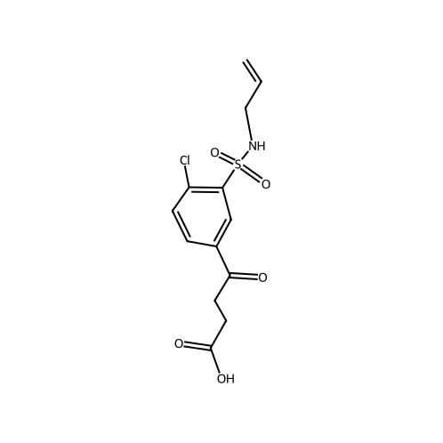 C=CCNS(=O)(=O)c1cc(C(=O)CCC(=O)O)ccc1Cl